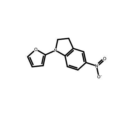 O=[N+]([O-])c1ccc2c(c1)CCN2c1ccco1